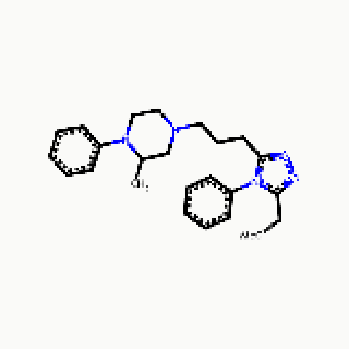 COCc1nnc(CCCN2CCN(c3ccccc3)C(C)C2)n1-c1ccccc1